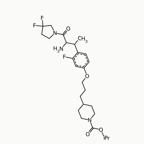 CC(C)OC(=O)N1CCC(CCCOc2ccc(C(C)C(N)C(=O)N3CCC(F)(F)C3)c(F)c2)CC1